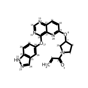 C=CC(=O)N1CCC(Oc2ccc3ncnc(Oc4ccc5[nH]ncc5c4)c3n2)C1